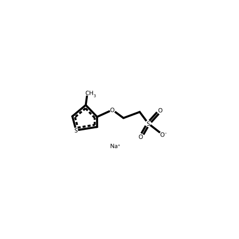 Cc1cscc1OCCS(=O)(=O)[O-].[Na+]